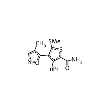 CCCc1c(C(N)=O)sc(SC)c1-c1oncc1C